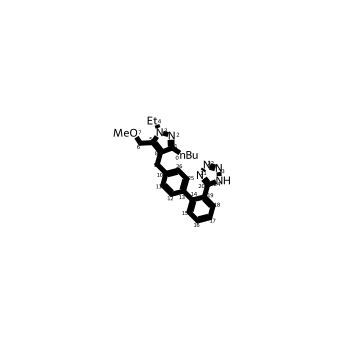 CCCCc1nn(CC)c(COC)c1Cc1ccc(-c2ccccc2-c2nnn[nH]2)cc1